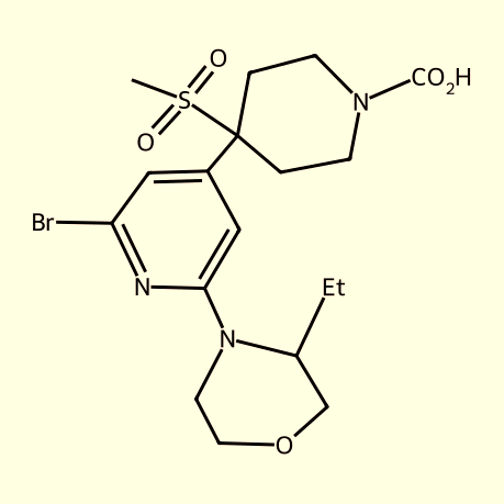 CCC1COCCN1c1cc(C2(S(C)(=O)=O)CCN(C(=O)O)CC2)cc(Br)n1